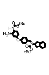 CC(C)(C)OC(=O)Nc1ccc(Oc2ccc(CN(C(=O)OC(C)(C)C)C3Cc4ccccc4C3)cc2)cc1N